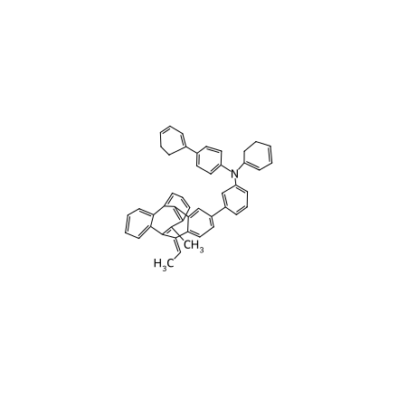 C/C=C1\C2=C(C)c3cccc(c3-c3cc(-c4cccc(N(C5=CC=CCC5)c5ccc(C6=CC=CCC6)cc5)c4)ccc31)-c1ccccc12